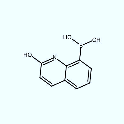 OB(O)c1cccc2ccc(O)nc12